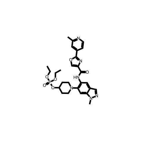 CCOP(=O)(OCC)OC1CCN(c2cc3c(cnn3C)cc2NC(=O)c2coc(-c3ccnc(C)c3)n2)CC1